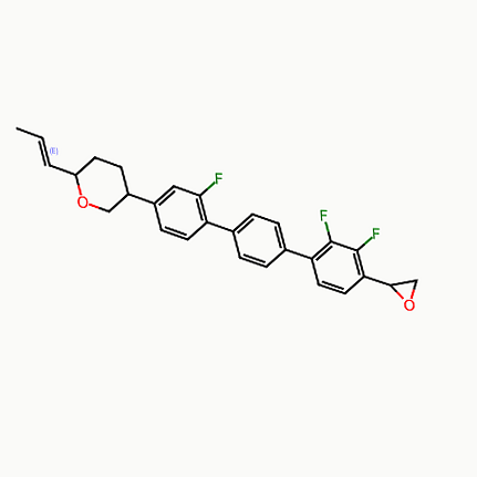 C/C=C/C1CCC(c2ccc(-c3ccc(-c4ccc(C5CO5)c(F)c4F)cc3)c(F)c2)CO1